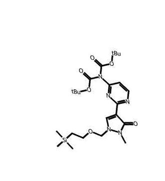 Cn1c(=O)c(-c2nccc(N(C(=O)OC(C)(C)C)C(=O)OC(C)(C)C)n2)cn1COCC[Si](C)(C)C